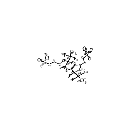 C=C(OC(=C)C(F)(OCCCS(=O)(=O)Cl)C(F)(F)C(F)(F)F)C(F)(OCCCS(=O)(=O)Cl)C(F)(F)C(F)(F)F